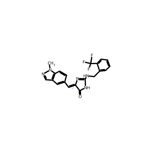 Cn1ncc2cc(/C=C3\N=C(NCc4ccccc4C(F)(F)F)NC3=O)ccc21